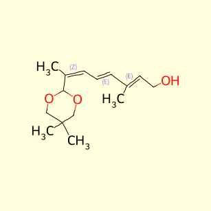 C/C(=C/C=C/C(C)=C/CO)C1OCC(C)(C)CO1